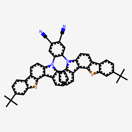 CC(C)(C)c1ccc2c(c1)sc1c2ccc2c1c1ccccc1n2-c1cc(C#N)c(C#N)cc1-n1c2ccccc2c2c3sc4cc(C(C)(C)C)ccc4c3ccc21